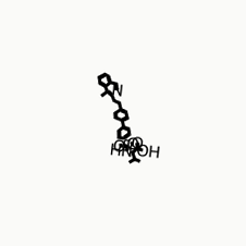 Cc1c(CCc2ccc(-c3ccc(S(=O)(=O)N[C@@H](C(=O)O)C(C)C)cc3)cc2)ncc2ccccc12